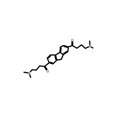 CN(C)CCCC(=O)c1ccc2c(c1)Cc1cc(C(=O)CCCN(C)C)ccc1-2